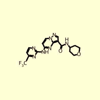 O=C(NC1CCOCC1)c1cnn2ccc(Nc3nccc(C(F)(F)F)n3)nc12